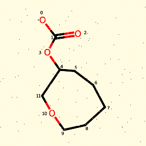 [O]C(=O)OC1CCCCCOC1